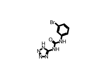 O=C(Nc1cccc(Br)c1)Nc1nnn[nH]1